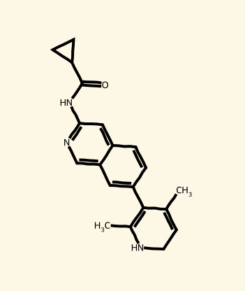 CC1=CCNC(C)=C1c1ccc2cc(NC(=O)C3CC3)ncc2c1